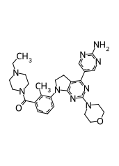 CCN1CCN(C(=O)c2cccc(N3CCc4c(-c5cnc(N)nc5)nc(N5CCOCC5)nc43)c2C)CC1